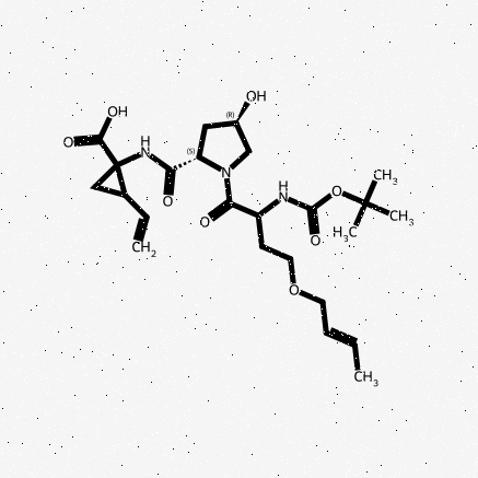 C=CC1CC1(NC(=O)[C@@H]1C[C@@H](O)CN1C(=O)C(CCOCC=CC)NC(=O)OC(C)(C)C)C(=O)O